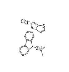 C1=CC2C=CSC2=C1.C[C](C)=[Zr+2][CH]1c2ccccc2-c2ccccc21.[Cl-].[Cl-]